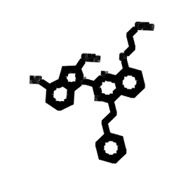 COCCOc1cccc2c(CCc3ccccc3)nc(-n3c(OC)cc4c(C#N)cccc43)nc12